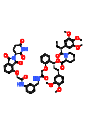 CC[C@H](C(=O)N1CCCC[C@H]1C(=O)O[C@H](CCc1ccc(OC)c(OC)c1)c1ccccc1OCC(=O)NCc1cccc(NC(=O)COc2cccc3c2C(=O)N(C2CCC(=O)NC2=O)C3=O)c1)c1cc(OC)c(OC)c(OC)c1